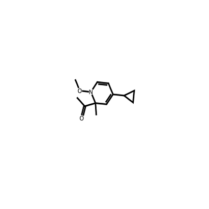 CON1C=CC(C2CC2)=CC1(C)C(C)=O